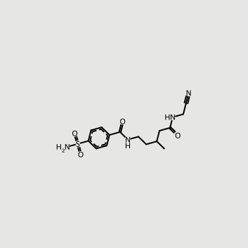 CC(CCNC(=O)c1ccc(S(N)(=O)=O)cc1)CC(=O)NCC#N